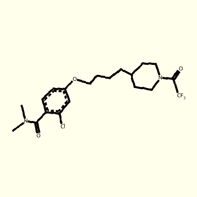 CN(C)C(=O)c1ccc(OCCCCC2CCN(C(=O)C(F)(F)F)CC2)cc1Cl